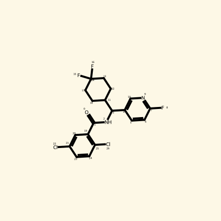 O=C(NC(c1ccc(F)nc1)C1CCC(F)(F)CC1)c1cc(Cl)ccc1Cl